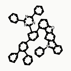 c1ccc(-c2nc(-c3ccccc3)nc(-c3cc(-c4ccc(-c5ccccc5)c(-c5ccccc5)c4)ccc3-c3cccc4oc5cc6c7ccccc7n(-c7ccccc7)c6cc5c34)n2)cc1